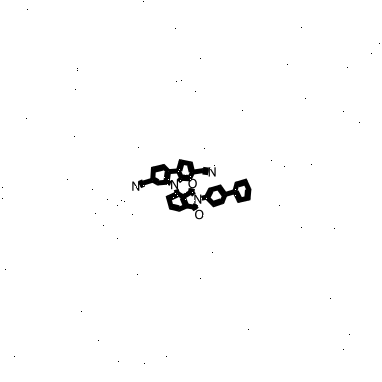 N#Cc1ccc2c3ccc(C#N)cc3n(-c3cccc4c3C(=O)N(c3ccc(-c5ccccc5)cc3)C4=O)c2c1